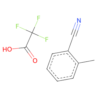 Cc1ccccc1C#N.O=C(O)C(F)(F)F